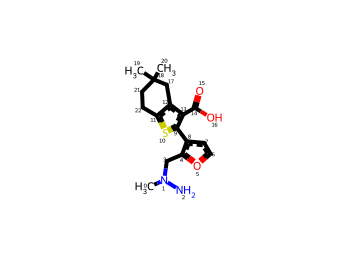 CN(N)Cc1occc1-c1sc2c(c1C(=O)O)CC(C)(C)CC2